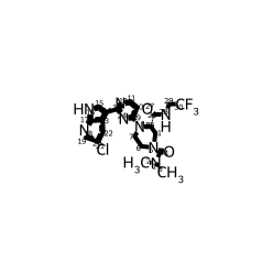 CN(C)C(=O)N1CCN(c2ccnc(-c3c[nH]c4ncc(Cl)cc34)n2)[C@H](C(=O)NCC(F)(F)F)C1